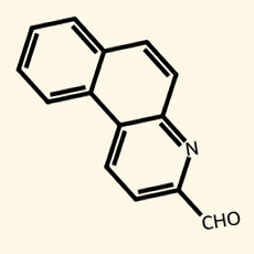 O=Cc1ccc2c(ccc3ccccc32)n1